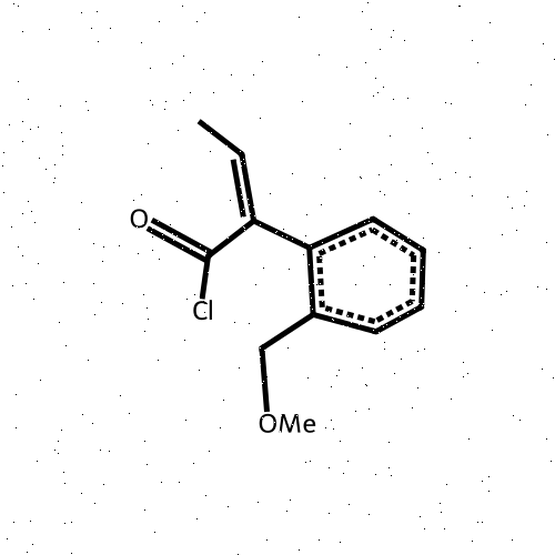 C/C=C(\C(=O)Cl)c1ccccc1COC